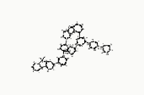 CC1(C)c2ccccc2-c2ccc(-c3cccc(-c4ccc(-c5ccc6oc7cccc(-c8nc(-c9ccccc9)nc(-c9ccc(-c%10ccccc%10)cc9)n8)c7c6c5)cc4)c3)cc21